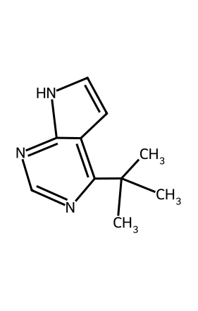 CC(C)(C)c1ncnc2[nH]ccc12